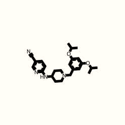 CC(C)Oc1cc(CN2CCC(Nc3ccc(C#N)cn3)CC2)cc(OC(C)C)c1